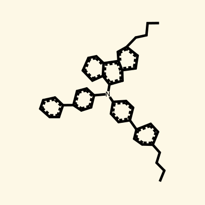 CCCCc1ccc(-c2ccc(N(c3ccc(-c4ccccc4)cc3)c3cc4ccc(CCCC)cc4c4ccccc34)cc2)cc1